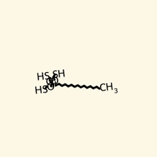 CCCCCCCCCCCCCCCC[Si](OCS)(OCS)OCS